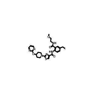 COCCNC(=O)c1cc(CI)ccc1NC(=O)c1csc(N2CCC(Oc3ncccn3)CC2)n1